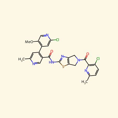 COc1cnc(Cl)cc1-c1cc(C)ncc1C(=O)Nc1nc2c(s1)CN(C(=O)c1nc(C)ccc1Cl)C2